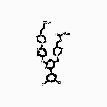 CNC(=O)OCC1CCN(Cc2cc(Oc3ccc(N4CCN(CCC(=O)O)CC4)nc3)nc(-c3cc(Cl)cc(Cl)c3)c2)CC1